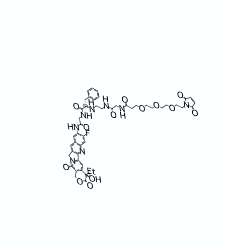 CC[C@@]1(O)C(=O)OCc2c1cc1n(c2=O)Cc2cc3cc(NC(=O)CNC(=O)[C@H](Cc4ccccc4)NCCNC(=O)CNC(=O)CCOCCOCCOCCN4C(=O)C=CC4=O)c(F)cc3nc2-1